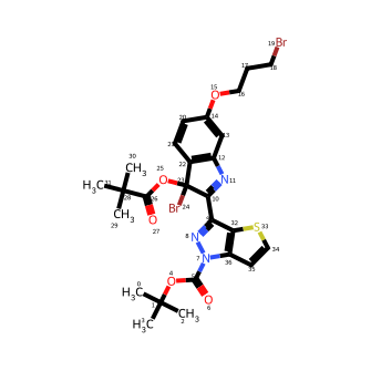 CC(C)(C)OC(=O)n1nc(C2=Nc3cc(OCCCBr)ccc3C2(Br)OC(=O)C(C)(C)C)c2sccc21